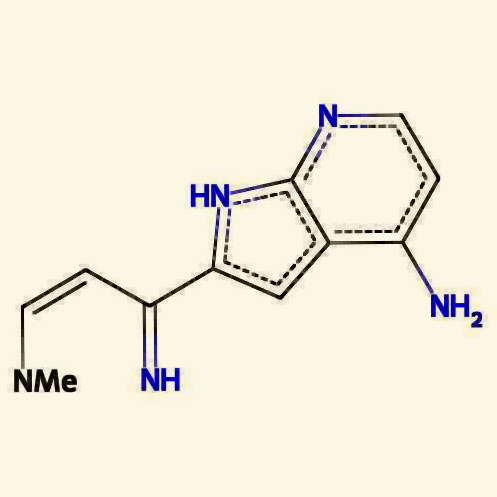 CN/C=C\C(=N)c1cc2c(N)ccnc2[nH]1